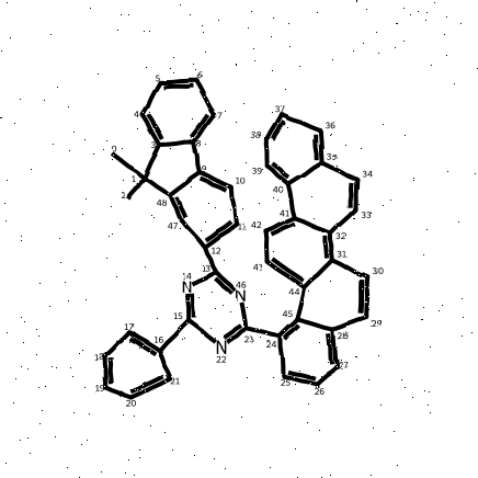 CC1(C)c2ccccc2-c2ccc(-c3nc(-c4ccccc4)nc(-c4cccc5ccc6c7ccc8ccccc8c7ccc6c45)n3)cc21